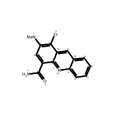 CCc1c(NC)cc(C(N)=O)c2nc3ccccc3cc12